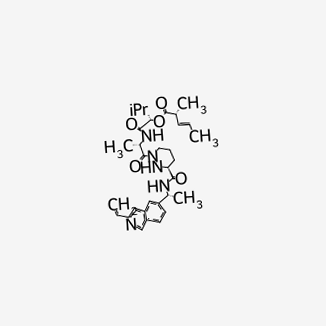 C=Cc1cc2cc([C@@H](C)NC(=O)[C@@H]3CCCN(C(=O)[C@H](C)NC(=O)[C@@H](OC(=O)[C@H](C)/C=C/C)C(C)C)N3)ccc2cn1